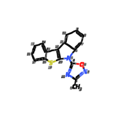 Cc1noc(-n2c3ccccc3c3c4ccccc4sc32)n1